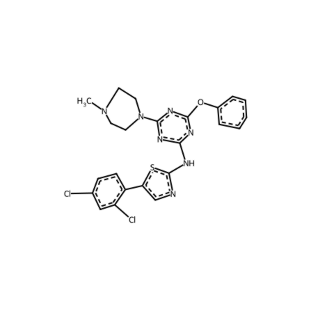 CN1CCN(c2nc(Nc3ncc(-c4ccc(Cl)cc4Cl)s3)nc(Oc3ccccc3)n2)CC1